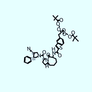 CC(C)(C)C(=O)OCOP(=O)(Cc1ccc2sc(C(=O)NC3CCCC[C@H]4CC[C@@H](C(=O)N5C[C@H](c6ccccc6)[C@@H](C#N)C5)N4C3=O)cc2c1)OCOC(=O)C(C)(C)C